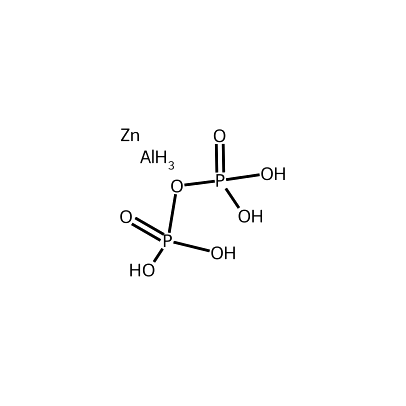 O=P(O)(O)OP(=O)(O)O.[AlH3].[Zn]